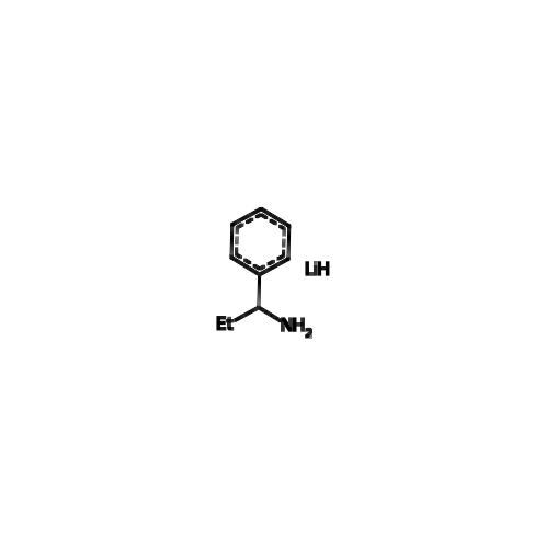 CCC(N)c1ccccc1.[LiH]